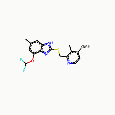 COc1ccnc(CSc2nc3c(OC(F)F)cc(C)cc3[nH]2)c1C